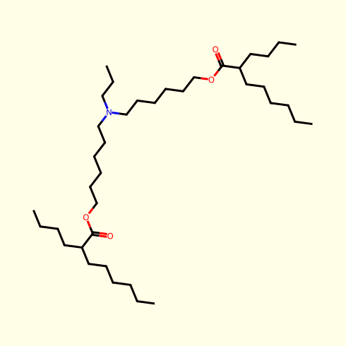 CCCCCCC(CCCC)C(=O)OCCCCCCN(CCC)CCCCCCOC(=O)C(CCCC)CCCCCC